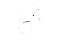 Cc1ccc(C)c(C(O)(C(=O)O)C(=O)O)c1